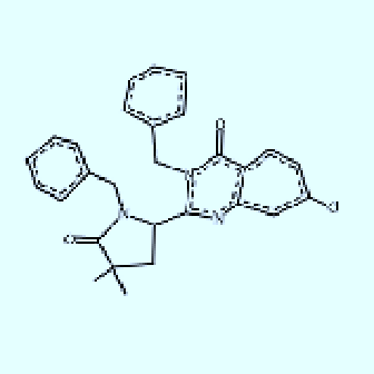 CC1(C)CC(c2nc3cc(Cl)ccc3c(=O)n2Cc2ccccc2)N(Cc2ccccc2)C1=O